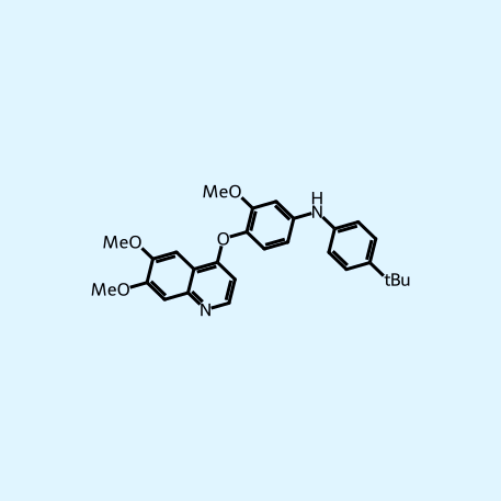 COc1cc2nccc(Oc3ccc(Nc4ccc(C(C)(C)C)cc4)cc3OC)c2cc1OC